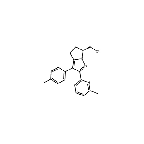 Cc1cccc(-c2nn3c(c2-c2ccc(F)cc2)CC[C@H]3CO)n1